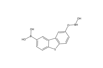 OBOc1ccc2sc3ccc(B(O)O)cc3c2c1